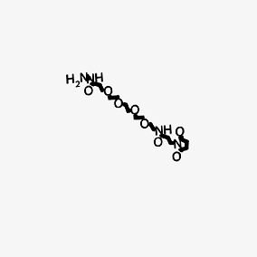 NNC(=O)CCOCCOCCOCCOCCNC(=O)CCN1C(=O)CCC1=O